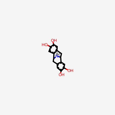 CC(=O)N1C2Cc3cc(O)c(O)cc3C1Cc1cc(O)c(O)cc12